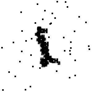 CON=C(COc1ccc(CNc2ccc(C3CC3C(=O)O)cc2)cc1)c1ccccc1